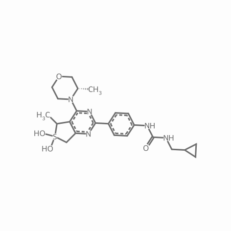 CC1c2c(nc(-c3ccc(NC(=O)NCC4CC4)cc3)nc2N2CCOC[C@@H]2C)CS1(O)O